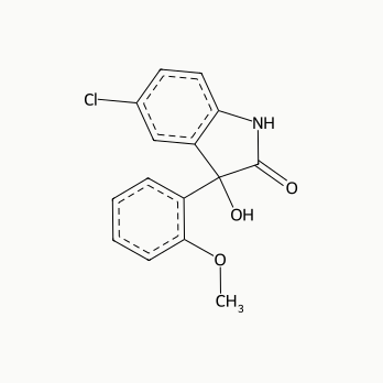 COc1ccccc1C1(O)C(=O)Nc2ccc(Cl)cc21